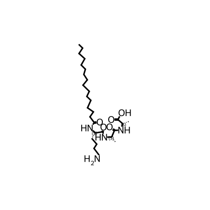 CCCCCCCCCCCCCCCC(=O)N[C@@H](CCCCN)C(=O)N[C@@H](C)C(=O)N[C@@H](C)C(=O)O